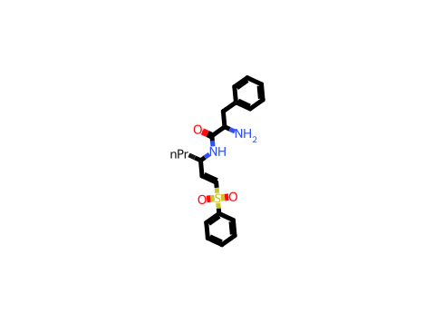 CCCC(C=CS(=O)(=O)c1ccccc1)NC(=O)C(N)Cc1ccccc1